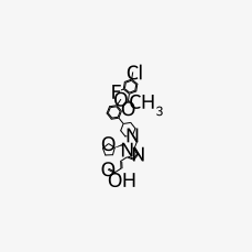 CC1(c2ccc(Cl)cc2F)Oc2cccc(C3CCN(Cc4ncc(/C=C/C(=O)O)n4C[C@H]4CCCO4)CC3)c2O1